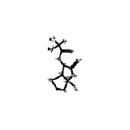 CCC(C)(C)C(=O)OC1C(=O)O[C@@H]2CCOC12